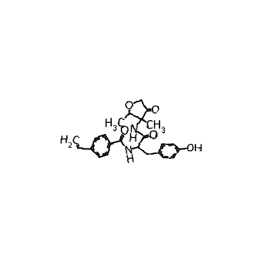 C=Cc1ccc(C(=O)NC(Cc2ccc(O)cc2)C(=O)NC2(C)C(=O)COC2C)cc1